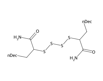 CCCCCCCCCCCC(SSSSC(CCCCCCCCCCC)C(N)=O)C(N)=O